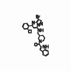 O=C(c1cc2ccccc2[nH]1)N1CCCC(CNc2cc(-c3ccccc3Cl)nc3c(Br)cnn23)C1